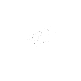 COc1cccc2c(=O)[nH]c3sc(CN4CCCCC4)cc3c12